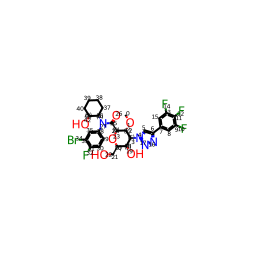 CO[C@@H]1[C@@H](n2cc(-c3cc(F)c(F)c(F)c3)nn2)[C@@H](O)[C@@H](CO)O[C@H]1C(=O)N(c1ccc(F)c(Br)c1)[C@H]1CCCC[C@@H]1O